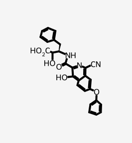 N#Cc1nc(C(=O)N[C@H](Cc2ccccc2)C(O)C(=O)O)c(O)c2ccc(Oc3ccccc3)cc12